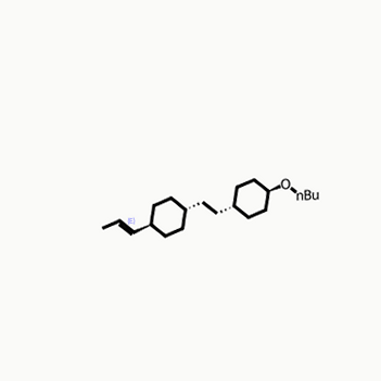 C/C=C/[C@H]1CC[C@H](CC[C@H]2CC[C@H](OCCCC)CC2)CC1